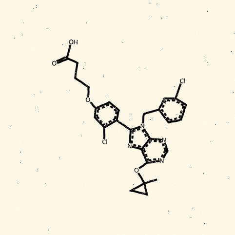 CC1(Oc2ncnc3c2nc(-c2ccc(OCCCC(=O)O)cc2Cl)n3Cc2cccc(Cl)c2)CC1